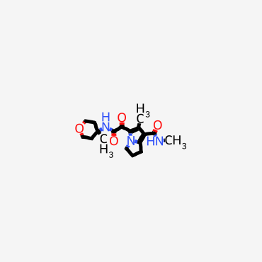 CNC(=O)c1c(C)c(C(=O)C(=O)NC2(C)CCOCC2)n2c1CCC2